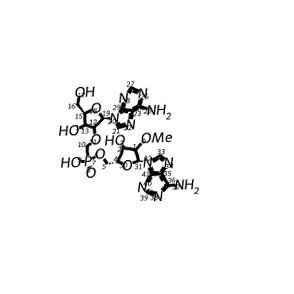 COC1C(O)[C@@H](COP(=O)(O)COC2C(O)[C@@H](CO)O[C@H]2n2cnc3c(N)ncnc32)O[C@H]1n1cnc2c(N)ncnc21